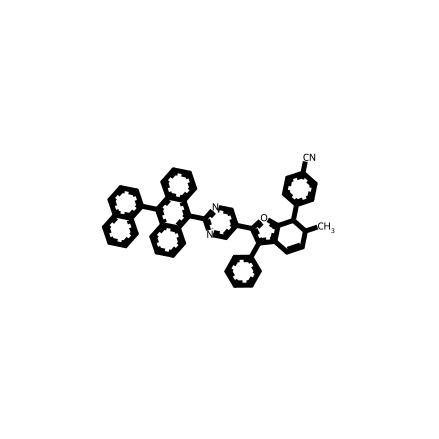 CC1C=Cc2c(oc(-c3cnc(-c4c5ccccc5c(-c5cccc6ccccc56)c5ccccc45)nc3)c2-c2ccccc2)C1c1ccc(C#N)cc1